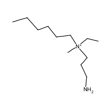 CCCCCC[N+](C)(CC)CCCN